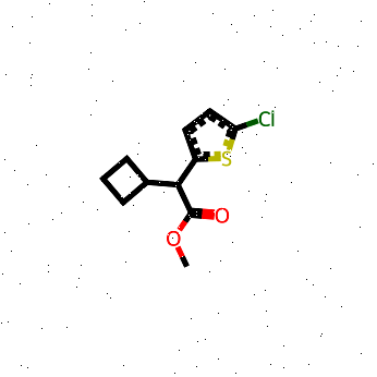 COC(=O)C(c1ccc(Cl)s1)C1CCC1